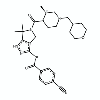 C[C@H]1CN(CC2CCOCC2)CCN1C(=O)N1Cc2c(NC(=O)c3ccc(C#N)cc3)n[nH]c2C1(C)C